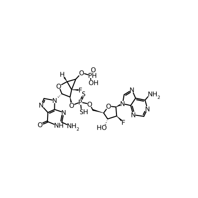 Nc1nc2c(ncn2[C@@H]2O[C@@H]3C(O[PH](=O)O)[C@]3(F)[C@H]2OP(=S)(S)OC[C@H]2O[C@@H](n3cnc4c(N)ncnc43)[C@@H](F)[C@@H]2O)c(=O)[nH]1